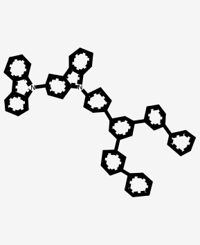 c1ccc(-c2cccc(-c3cc(-c4ccc(-n5c6ccccc6c6cc(-n7c8ccccc8c8ccccc87)ccc65)cc4)cc(-c4cccc(-c5ccccc5)c4)c3)c2)cc1